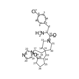 NC(Cc1ccc(Cl)cc1)C(=O)N1CCC(CCn2ccnc2)(CC2CCCC2=O)CC1